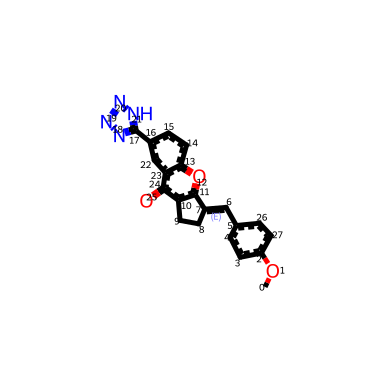 COc1ccc(/C=C2\CCc3c2oc2ccc(-c4nnn[nH]4)cc2c3=O)cc1